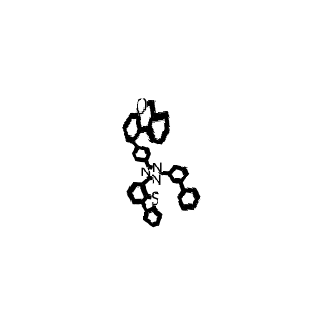 c1ccc(-c2cccc(-c3nc(-c4ccc(-c5cccc6c5-c5ccccc5CO6)cc4)nc(-c4cccc5c4sc4ccccc45)n3)c2)cc1